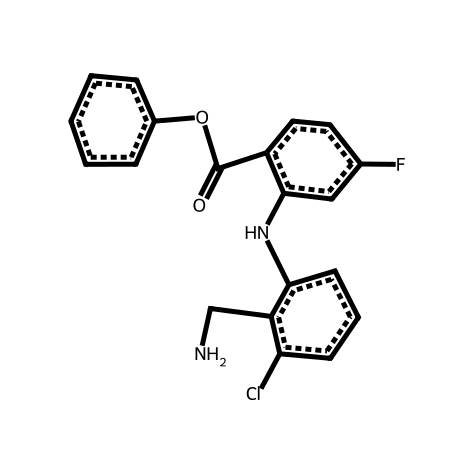 NCc1c(Cl)cccc1Nc1cc(F)ccc1C(=O)Oc1ccccc1